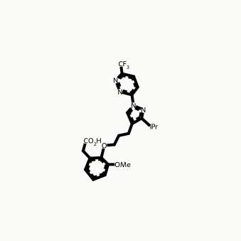 COc1cccc(CC(=O)O)c1OCCCc1cn(-c2ccc(C(F)(F)F)nn2)nc1C(C)C